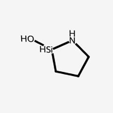 O[SiH]1CCCN1